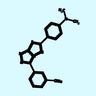 COc1cccc(-c2nnc3sc(-c4ccc(N(C)C)cc4)nn23)c1